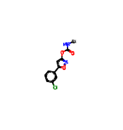 CCNC(=O)Oc1cc(-c2cccc(Cl)c2)on1